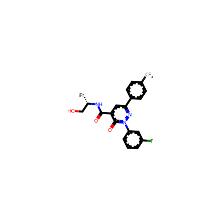 CC(C)[C@@H](CO)NC(=O)c1cc(-c2ccc(C(F)(F)F)cc2)nn(-c2cccc(F)c2)c1=O